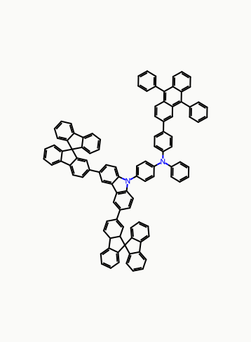 C1=CC2c3ccccc3C3(c4ccccc4-c4ccccc43)C2C=C1c1ccc2c(c1)c1cc(-c3ccc4c(c3)C3(c5ccccc5-c5ccccc53)c3ccccc3-4)ccc1n2-c1ccc(N(c2ccccc2)c2ccc(-c3ccc4c(-c5ccccc5)c5ccccc5c(-c5ccccc5)c4c3)cc2)cc1